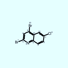 Clc1ccc2nc(Br)cc(Br)c2c1